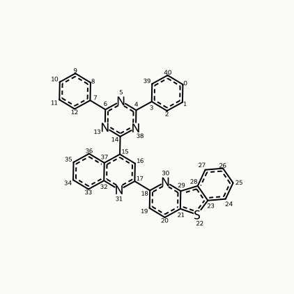 c1ccc(-c2nc(-c3ccccc3)nc(-c3cc(-c4ccc5sc6ccccc6c5n4)nc4ccccc34)n2)cc1